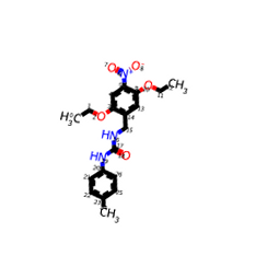 CCOc1cc([N+](=O)[O-])c(OCC)cc1CNC(=O)Nc1ccc(C)cc1